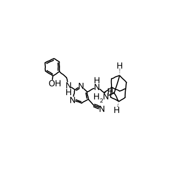 N#Cc1cnc(NCc2ccccc2O)nc1NC[C@]12CC3C[C@H](C1)[C@@H](N)[C@@H](C3)C2